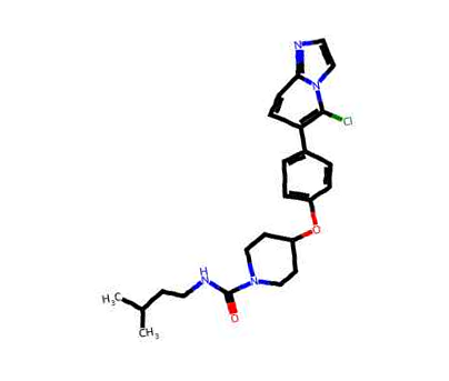 CC(C)CCNC(=O)N1CCC(Oc2ccc(-c3ccc4nccn4c3Cl)cc2)CC1